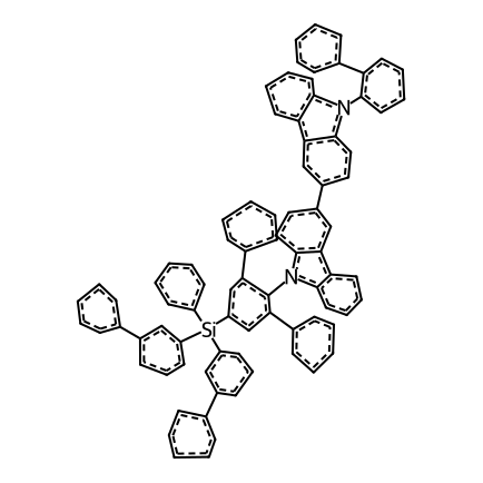 c1ccc(-c2cccc([Si](c3ccccc3)(c3cccc(-c4ccccc4)c3)c3cc(-c4ccccc4)c(-n4c5ccccc5c5cc(-c6ccc7c(c6)c6ccccc6n7-c6ccccc6-c6ccccc6)ccc54)c(-c4ccccc4)c3)c2)cc1